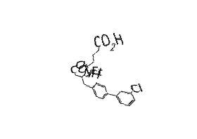 CCOC(=O)CC(Cc1ccc(-c2cccc(Cl)c2)cc1)NC(=O)CCCC(=O)O